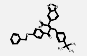 CC(C)(C)c1ccc(CC(C(=O)c2ccc(OCc3ccccc3)cc2)=C(C(=O)O)c2ccc3nsnc3c2)cc1